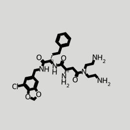 NCCN(CCN)C(=O)C[C@H](N)C(=O)N[C@@H](CCc1ccccc1)C(=O)NCc1cc(Cl)c2c(c1)OCO2